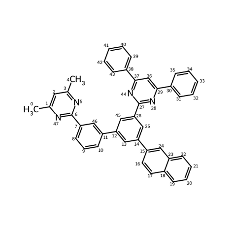 Cc1cc(C)nc(-c2cccc(-c3cc(-c4ccc5ccccc5c4)cc(-c4nc(-c5ccccc5)cc(-c5ccccc5)n4)c3)c2)n1